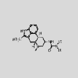 CCN(CC)C(=O)N[C@H]1C[C@@H]2c3cccc4[nH]c(C(=O)O)c(c34)C[C@H]2N(C)C1